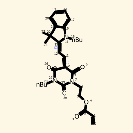 C=CC(=O)OCCN1C(=O)/C(=C/C=C2\N(CCCC)c3ccccc3C2(C)C)C(=O)N(CCCC)C1=O